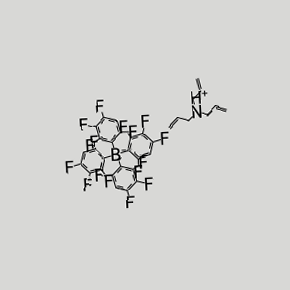 C=CC[NH+](CC=C)CC=C.Fc1cc(F)c([B-](c2c(F)cc(F)c(F)c2F)(c2c(F)cc(F)c(F)c2F)c2c(F)cc(F)c(F)c2F)c(F)c1F